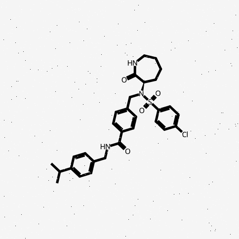 CC(C)c1ccc(CNC(=O)c2ccc(CN([C@@H]3CCCCNC3=O)S(=O)(=O)c3ccc(Cl)cc3)cc2)cc1